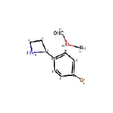 Brc1ccc(C2CCN2)cc1.CC(C)(C)OC=O